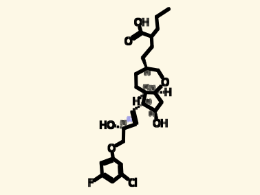 CCCC(CC[C@@H]1CC[C@@H]2[C@@H](/C=C/[C@@H](O)COc3cc(F)cc(Cl)c3)[C@H](O)C[C@@H]2OC1)C(=O)O